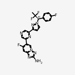 CC(F)(F)[C@@H](c1ccc(F)cc1)n1ccc(-c2cncc(-c3cn4nc(N)nc4cc3F)n2)n1